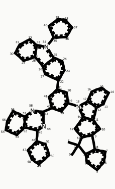 CC1(C)c2ccccc2-c2cc3c4ccccc4n(-c4cc(-c5ccc6c(c5)c5ccccc5n6-c5ccccc5)cc(-c5nc(-c6ccccc6)c6ccccc6n5)c4)c3cc21